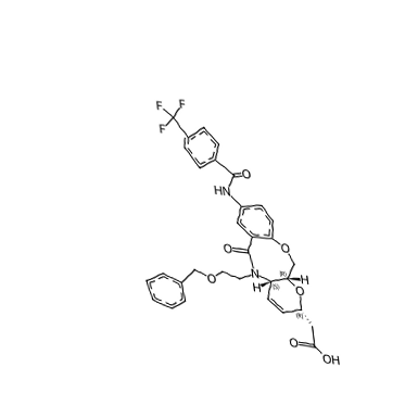 O=C(O)C[C@@H]1C=C[C@H]2[C@H](COc3ccc(NC(=O)c4ccc(C(F)(F)F)cc4)cc3C(=O)N2CCOCc2ccccc2)O1